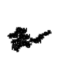 CC(=O)Oc1c(C)cc(OCC(O)CNC(C)C)c(C)c1C.CC(C)(C)NCC(O)COc1cccc2c1CCC(=O)N2.CC(C)(C)NCC(O)COc1cccc2c1CCC(=O)N2.CC(C)NC[C@H](O)COc1ccc(CCOCC2CC2)cc1